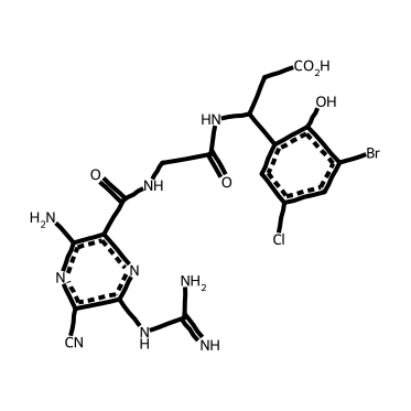 N#Cc1nc(N)c(C(=O)NCC(=O)NC(CC(=O)O)c2cc(Cl)cc(Br)c2O)nc1NC(=N)N